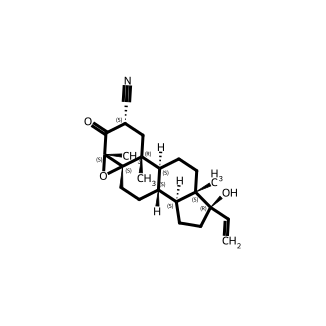 C=C[C@]1(O)CC[C@H]2[C@@H]3CC[C@@]45O[C@]4(C)C(=O)[C@H](C#N)C[C@]5(C)[C@H]3CC[C@@]21C